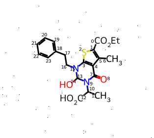 CCOC(=O)c1sc2c(c1C)C(=O)N(C(C)C(=O)O)C(O)N2CCc1ccccc1